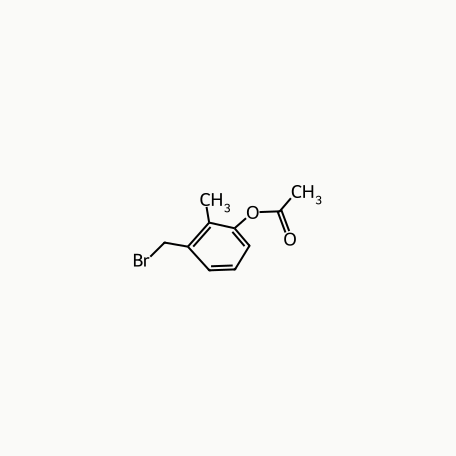 CC(=O)Oc1cccc(CBr)c1C